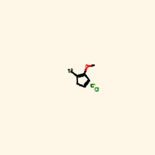 COC1=[C]([Ti+2])CC=C1.[Cl-].[Cl-]